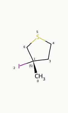 C[C@]1(I)CCSC1